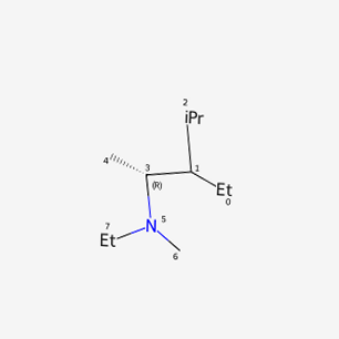 CCC(C(C)C)[C@@H](C)N(C)CC